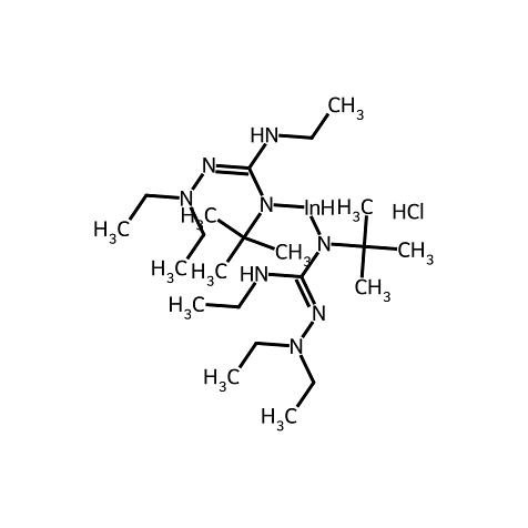 CCNC(=NN(CC)CC)[N]([InH][N](C(=NN(CC)CC)NCC)C(C)(C)C)C(C)(C)C.Cl